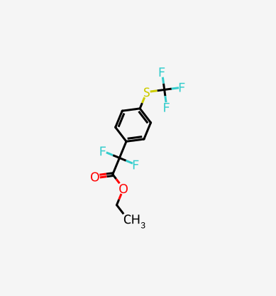 CCOC(=O)C(F)(F)c1ccc(SC(F)(F)F)cc1